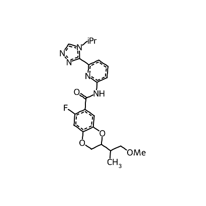 COCC(C)C1COc2cc(F)c(C(=O)Nc3cccc(-c4nncn4C(C)C)n3)cc2O1